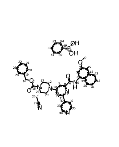 COc1cc(NC(=O)c2cc(N3CCN(C(=O)OCc4ccccc4)[C@@H](CC#N)C3)nc(-c3ccncc3)n2)c2ccccc2c1.OB(O)c1ccccc1